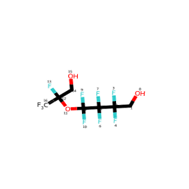 OCC(F)(F)C(F)(F)C(F)(F)OC(F)(CO)C(F)(F)F